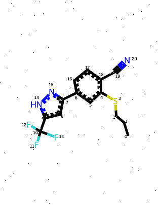 CCCSc1cc(-c2cc(C(F)(F)F)[nH]n2)ccc1C#N